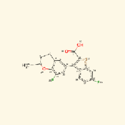 CC1CCc2cc(-c3c(C(=O)O)sc4cc(F)ccc34)cc(F)c2O1